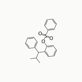 CC(C)C(c1ccccc1)c1ccccc1OS(=O)(=O)c1ccccc1